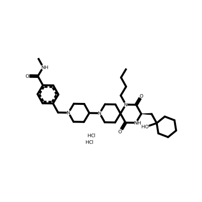 CCCCN1C(=O)[C@@H](CC2(O)CCCCC2)NC(=O)C12CCN(C1CCN(Cc3ccc(C(=O)NC)cc3)CC1)CC2.Cl.Cl